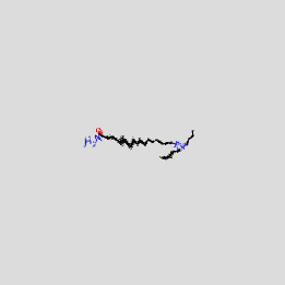 CCCCN(CCCC)CCCCCCCCCCCCCCC(N)=O